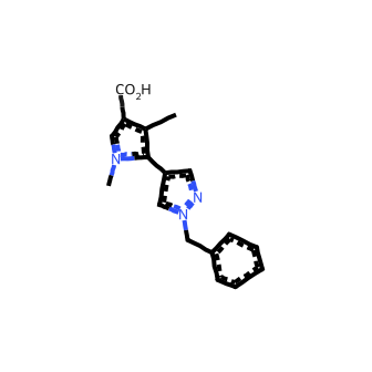 Cc1c(C(=O)O)cn(C)c1-c1cnn(Cc2ccccc2)c1